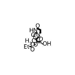 CCC(=O)OO[C@H]1[C@@H](CO)O[C@@H](n2ccc(=O)[nH]c2=O)[C@]1(C)F